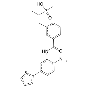 CC(Cc1cccc(C(=O)Nc2cc(-c3cccs3)ccc2N)c1)P(C)(=O)O